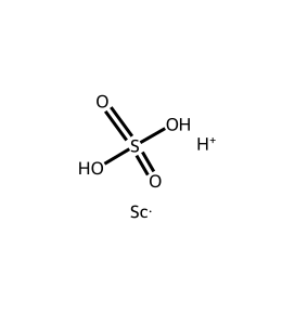 O=S(=O)(O)O.[H+].[Sc]